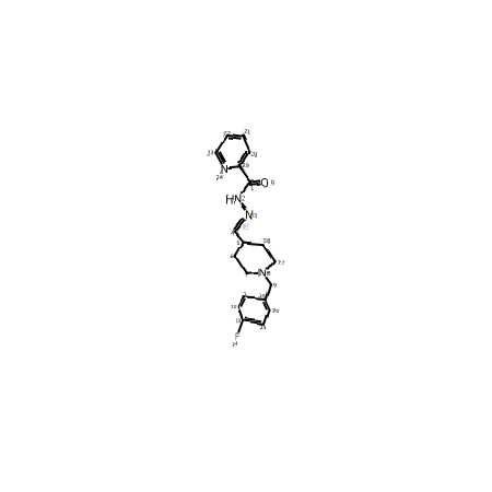 O=C(N/N=C/C1CCN(Cc2ccc(F)cc2)CC1)c1ccccn1